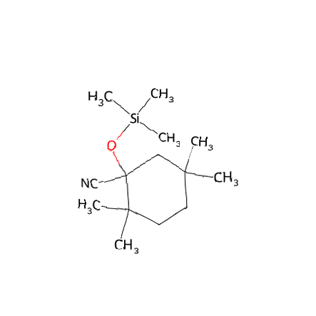 CC1(C)CCC(C)(C)C(C#N)(O[Si](C)(C)C)C1